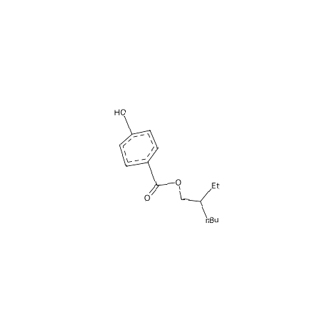 CCCCC(CC)COC(=O)c1ccc(O)cc1